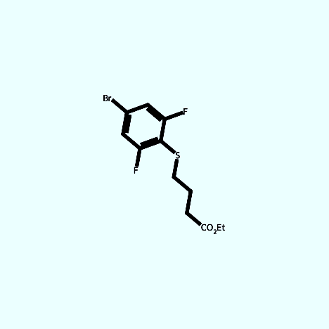 CCOC(=O)CCCSc1c(F)cc(Br)cc1F